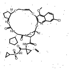 C=C[C@@H]1C[C@]1(NC(=O)[C@@H]1C[C@@H]2CN1C(=O)[C@H](C1CCCC1)NC(=O)O[C@@H]1CCC[C@H]1CCC=CCc1c(nc3cc(Cl)ccc3c1OC)O2)C(=O)NS(=O)(=O)C1CC1